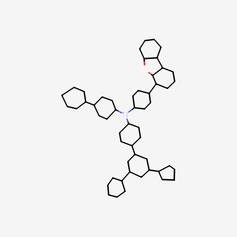 C1CCC(C2CCC(N(C3CCC(C4CC(C5CCCCC5)CC(C5CCCC5)C4)CC3)C3CCC(C4CCCC5C6CCCCC6OC45)CC3)CC2)CC1